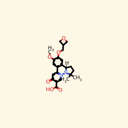 COc1cc2c(cc1OCC1COC1)[C@H]1CCC(C)(C)N1n1cc(C(=O)O)c(=O)cc1-2